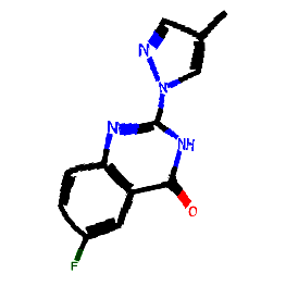 Cc1cnn(-c2nc3ccc(F)cc3c(=O)[nH]2)c1